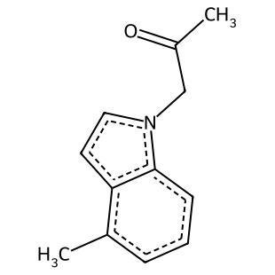 CC(=O)Cn1ccc2c(C)cccc21